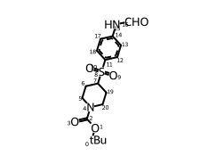 CC(C)(C)OC(=O)N1CCC(S(=O)(=O)c2ccc(NC=O)cc2)CC1